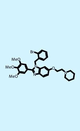 COc1cc(-c2nc3ccc(OCCN4CCCCC4)cc3n2Cc2ccccc2Br)cc(OC)c1OC